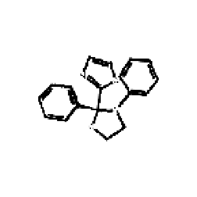 c1ccc(N2CCO[C@]2(c2ccccc2)c2ncco2)cc1